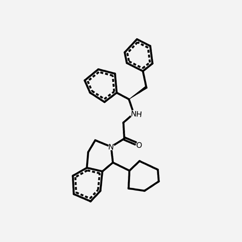 O=C(CN[C@H](Cc1ccccc1)c1ccccc1)N1CCc2ccccc2C1C1CCCCC1